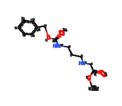 CC(C)(C)OC(=O)CNCCCNC(=O)OCc1ccccc1